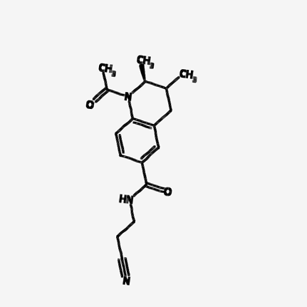 CC(=O)N1c2ccc(C(=O)NCCC#N)cc2CC(C)[C@@H]1C